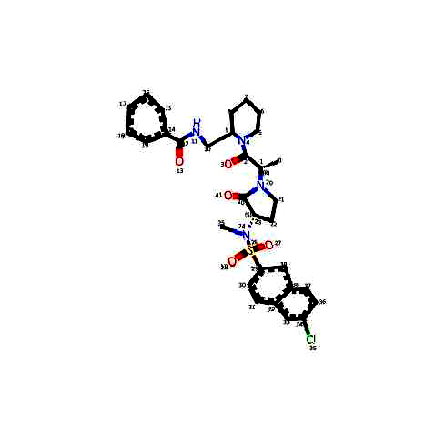 C[C@H](C(=O)N1CCCCC1CNC(=O)c1ccccc1)N1CC[C@H](N(C)S(=O)(=O)c2ccc3cc(Cl)ccc3c2)C1=O